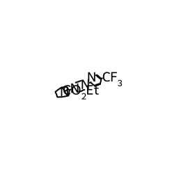 CCOC(=O)N1C2CCC1CC(N1CCN(c3ccc(C(F)(F)F)cn3)CC1)C2